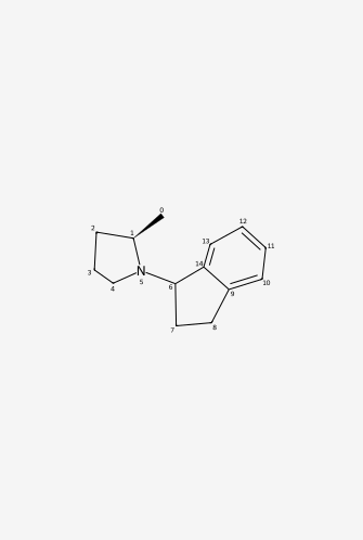 C[C@@H]1CCCN1C1CCc2ccccc21